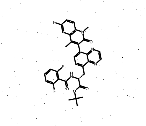 Cc1c(-c2ccc(C[C@H](NC(=O)c3c(F)cccc3F)C(=O)OC(C)(C)C)c3nccnc23)c(=O)n(C)c2ccc(F)cc12